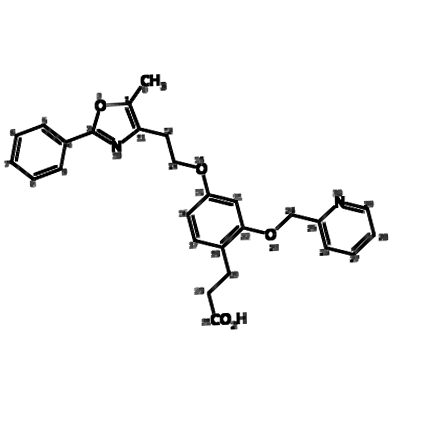 Cc1oc(-c2ccccc2)nc1CCOc1ccc(CCC(=O)O)c(OCc2ccccn2)c1